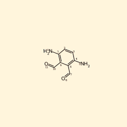 Nc1ccc(N)c(C=O)c1C=O